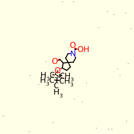 CC(C)(C)[Si](C)(C)OC1CCC2(CCN(C(=O)O)CC2)C1C=O